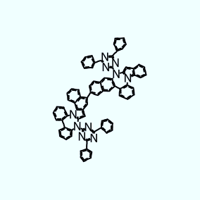 c1ccc(-c2nc(-c3ccccc3)nc(N3c4cc5ccc(-c6cc7cc8n(c7c7ccccc67)-c6ccccc6-c6ccccc6N8c6nc(-c7ccccc7)nc(-c7ccccc7)n6)cc5cc4-c4ccccc4-n4c3cc3ccccc34)n2)cc1